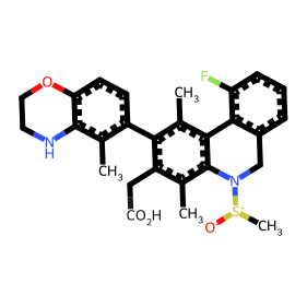 Cc1c(-c2c(C)c3c(c(C)c2CC(=O)O)N([S+](C)[O-])Cc2cccc(F)c2-3)ccc2c1NCCO2